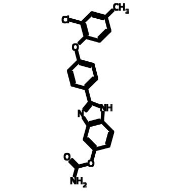 Cc1ccc(Oc2ccc(-c3nc4cc(OC(N)=O)ccc4[nH]3)cc2)c(Cl)c1